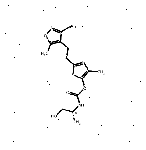 CCCCc1noc(C)c1CCc1nc(C)c(OC(=O)N[C@H](C)CO)s1